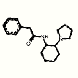 O=C(Cc1ccccc1)NC1CCCCC1N1CCCC1